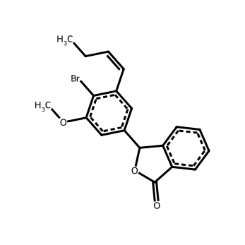 CC/C=C\c1cc(C2OC(=O)c3ccccc32)cc(OC)c1Br